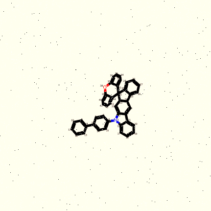 C1=c2c(n(-c3ccc(-c4ccccc4)cc3)c3ccccc23)=CC2C1c1ccccc1C21c2ccccc2Oc2ccccc21